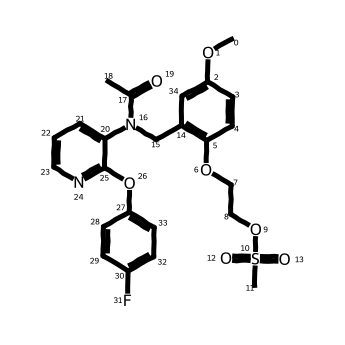 COc1ccc(OCCOS(C)(=O)=O)c(CN(C(C)=O)c2cccnc2Oc2ccc(F)cc2)c1